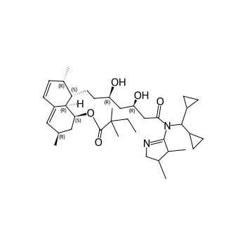 CCC(C)(C)C(=O)O[C@H]1C[C@@H](C)C=C2C=C[C@H](C)[C@H](CC[C@@H](O)C[C@@H](O)CC(=O)N(C3=NCC(C)C3C)C(C3CC3)C3CC3)[C@H]21